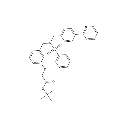 CC(C)(C)OC(=O)COc1cccc(CN(Cc2ccc(-c3cnccn3)cc2)S(=O)(=O)c2ccccc2)c1